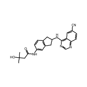 CC(C)(O)CC(=O)Nc1ccc2c(c1)CC(Nc1ncnc3ccc(C#N)cc13)C2